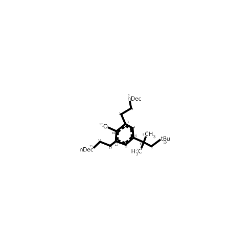 CCCCCCCCCCCCc1cc(C(C)(C)CC(C)(C)C)cc(CCCCCCCCCCCC)c1[O]